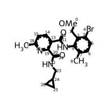 COCc1c(Br)ccc(C)c1NC(=O)c1ccc(C)nc1C(=O)NCC1CC1